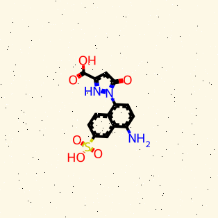 Nc1ccc(-n2[nH]c(C(=O)O)cc2=O)c2ccc(S(=O)(=O)O)cc12